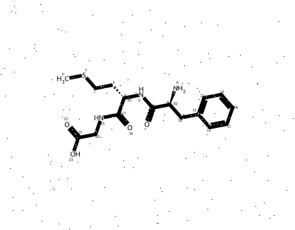 CSCC[C@H](NC(=O)[C@@H](N)Cc1ccccc1)C(=O)NCC(=O)O